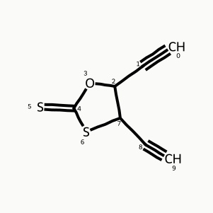 C#CC1OC(=S)SC1C#C